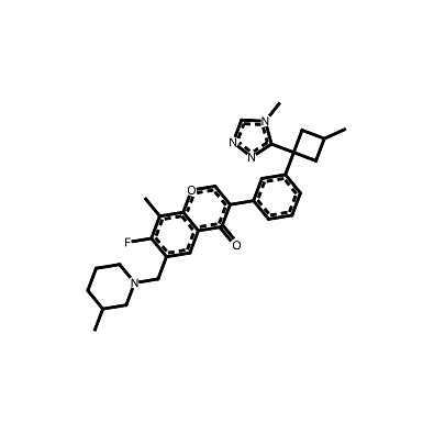 Cc1c(F)c(CN2CCCC(C)C2)cc2c(=O)c(-c3cccc(C4(c5nncn5C)CC(C)C4)c3)coc12